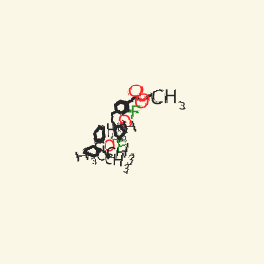 CCOC(=O)c1ccc2c(c1F)O[C@H]1C[C@@H](F)[C@H](CO[Si](c3ccccc3)(c3ccccc3)C(C)(C)C)[C@H]1CC2